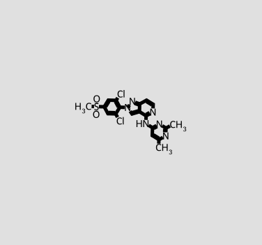 Cc1cc(Nc2nccc3nn(-c4c(Cl)cc(S(C)(=O)=O)cc4Cl)cc23)nc(C)n1